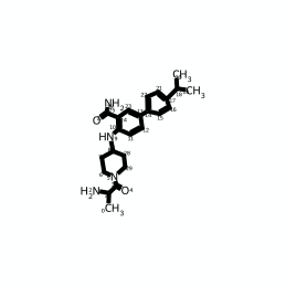 CC(N)C(=O)N1CCC(Nc2ccc(-c3ccc(C(C)C)cc3)cc2C(N)=O)CC1